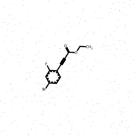 CCOC(=O)C#Cc1ccc(Br)cc1F